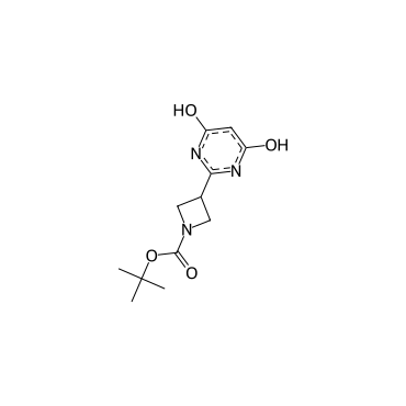 CC(C)(C)OC(=O)N1CC(c2nc(O)cc(O)n2)C1